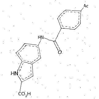 CC(=O)c1ccc(C(=O)Nc2ccc3[nH]c(C(=O)O)cc3c2)cc1